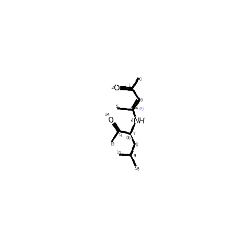 CC(=O)/C=C(\C)N[C@@H](CC(C)C)C(C)=O